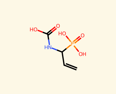 C=CC(NC(=O)O)P(=O)(O)O